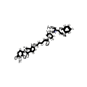 N=C/C(=C\NC1CCN(C(=O)CCCCNc2ccc3c(c2)CN(C2CCC(=O)NC2=O)C3=O)CC1)c1cnc2ccccc2n1